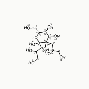 OCC(O)CC1(O)O[C@H](CO)[C@@H](O)[C@H](O)[C@]1(O)CC(O)CO